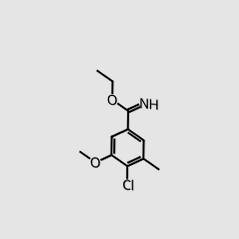 CCOC(=N)c1cc(C)c(Cl)c(OC)c1